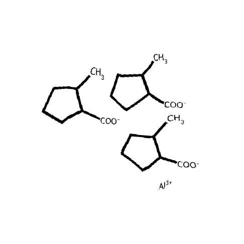 CC1CCCC1C(=O)[O-].CC1CCCC1C(=O)[O-].CC1CCCC1C(=O)[O-].[Al+3]